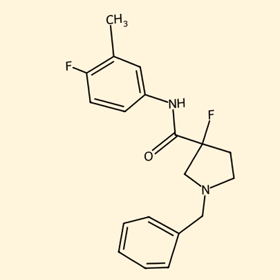 Cc1cc(NC(=O)C2(F)CCN(Cc3ccccc3)C2)ccc1F